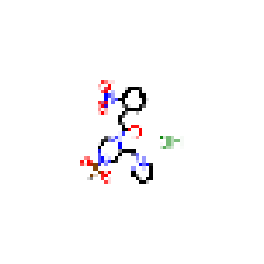 CS(=O)(=O)N1CCN(C(=O)Cc2ccccc2[N+](=O)[O-])[C@@H](CN2CCCC2)C1.Cl